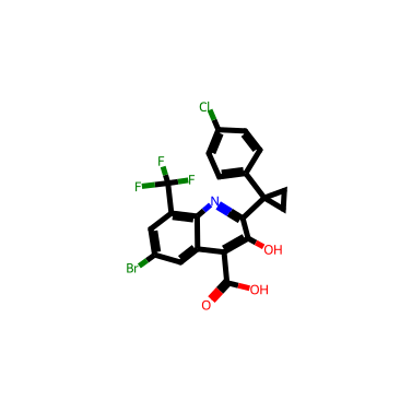 O=C(O)c1c(O)c(C2(c3ccc(Cl)cc3)CC2)nc2c(C(F)(F)F)cc(Br)cc12